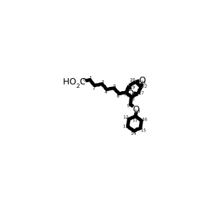 O=C(O)CCCCCCC1C(COC2CCCCC2)C2OC1C1OC21